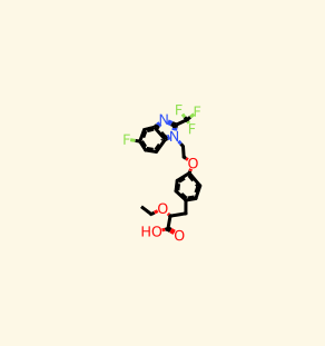 CCOC(Cc1ccc(OCCn2c(C(F)(F)F)nc3cc(F)ccc32)cc1)C(=O)O